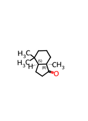 CC1(C)CCC[C@@]2(C)C(=O)CC[C@@H]12